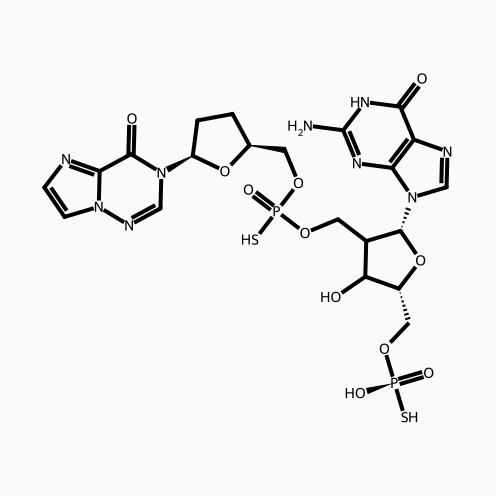 Nc1nc2c(ncn2[C@@H]2O[C@H](CO[P@@](=O)(O)S)C(O)C2COP(=O)(S)OC[C@@H]2CC[C@H](n3cnn4ccnc4c3=O)O2)c(=O)[nH]1